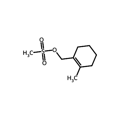 CC1=C(COS(C)(=O)=O)CCCC1